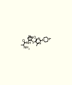 COc1nc(N2CCN(C)CC2)nc(C)c1Sc1sncc1NC(=O)C(C)N